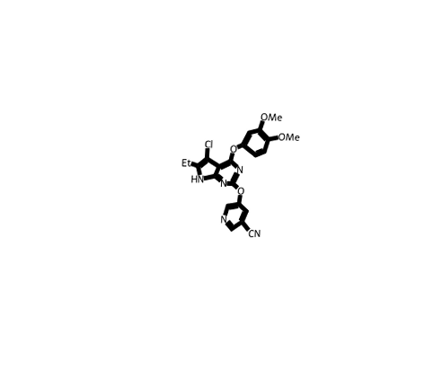 CCc1[nH]c2nc(Oc3cncc(C#N)c3)nc(Oc3ccc(OC)c(OC)c3)c2c1Cl